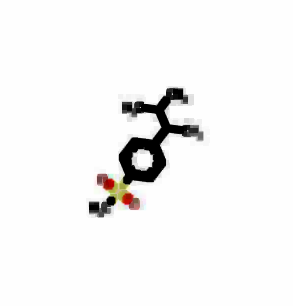 CC(C)C(C)c1ccc(S(C)(=O)=O)cc1